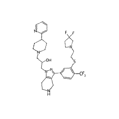 OC(CN1CCC(c2ccccn2)CC1)Cn1nc(-c2ccc(C(F)(F)F)c(SCCN3CCC(F)(F)C3)c2)c2c1CCNC2